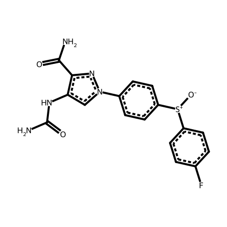 NC(=O)Nc1cn(-c2ccc([S+]([O-])c3ccc(F)cc3)cc2)nc1C(N)=O